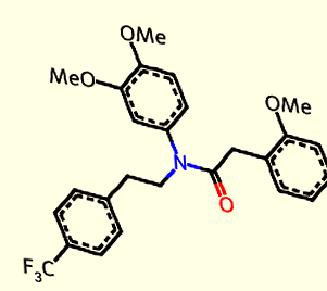 COc1ccccc1CC(=O)N(CCc1ccc(C(F)(F)F)cc1)c1ccc(OC)c(OC)c1